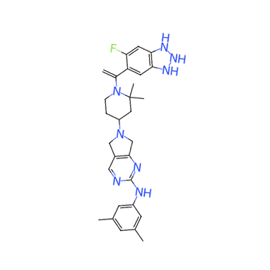 C=C(c1cc2c(cc1F)NNN2)N1CCC(N2Cc3cnc(Nc4cc(C)cc(C)c4)nc3C2)CC1(C)C